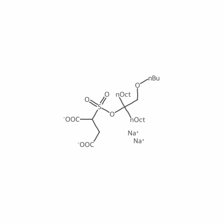 CCCCCCCCC(CCCCCCCC)(COCCCC)OS(=O)(=O)C(CC(=O)[O-])C(=O)[O-].[Na+].[Na+]